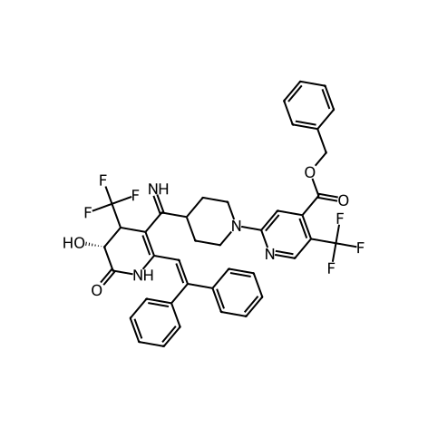 N=C(C1=C(C=C(c2ccccc2)c2ccccc2)NC(=O)[C@H](O)C1C(F)(F)F)C1CCN(c2cc(C(=O)OCc3ccccc3)c(C(F)(F)F)cn2)CC1